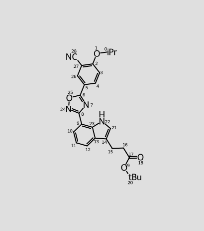 CC(C)Oc1ccc(-c2nc(-c3cccc4c(CCC(=O)OC(C)(C)C)c[nH]c34)no2)cc1C#N